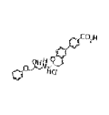 Cl.O=C(O)c1ccc(-c2ccc3c(c2)CC[C@H](CNC[C@H](O)COc2ccccc2)O3)cc1